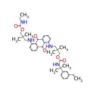 C=Cc1cccc(C(C)(C)NC(=O)OCC(C)(C)CNc2cccc3c2C(=O)c2cccc(NCC(C)(C)COC(=O)NCC)c2C3=O)c1